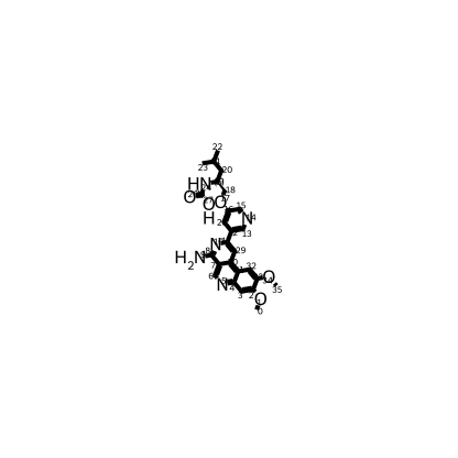 COc1cc2ncc3c(N)nc(-c4cncc(OC[C@H](CC(C)C)NC(=O)O)c4)cc3c2cc1OC